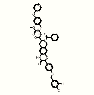 COC(=O)[C@H](Cc1ccc(Oc2ccncc2)cc1)NC(=O)C1Cc2cc3c(cc2CN1C(=O)c1ccccc1)OC(c1ccc(OCc2ccc(Cl)c(Cl)c2)cc1)C(=O)N3